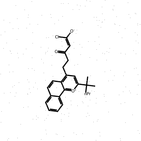 CCCC(C)(C)c1cc(CCC(=O)C=C([O-])Cl)c2ccc3ccccc3c2[o+]1